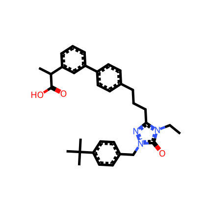 CCn1c(CCCc2ccc(-c3cccc(C(C)C(=O)O)c3)cc2)nn(Cc2ccc(C(C)(C)C)cc2)c1=O